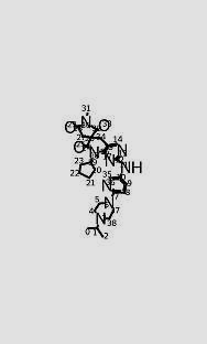 CC(C)N1CCN(c2ccc(Nc3ncc4c(n3)N(C3CCCC3)C(=O)C3(CC(=O)N(C)C3=O)C4)cn2)CC1